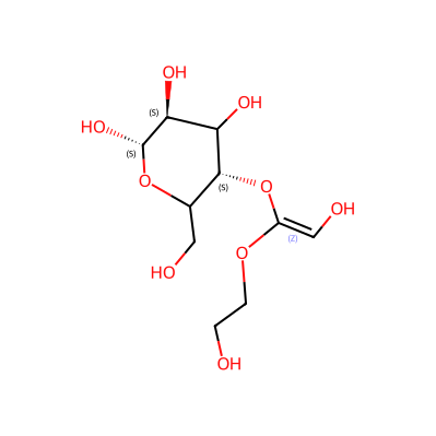 O/C=C(/OCCO)O[C@@H]1C(CO)O[C@H](O)[C@@H](O)C1O